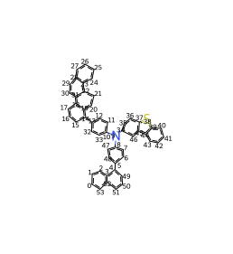 c1ccc2c(-c3ccc(N(c4ccc(-c5cccc6c5ccc5c7ccccc7ccc65)cc4)c4ccc5sc6ccccc6c5c4)cc3)cccc2c1